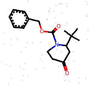 CC(C)(C)C1CC(=O)CCN1C(=O)OCc1ccccc1